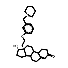 O=C1C=C2CCC3C(CC[C@@]4(CCOc5cccc(CN6CCCCC6)c5)C3CC[C@@H]4O)C2CC1